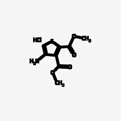 COC(=O)c1scc(N)c1C(=O)OC.Cl